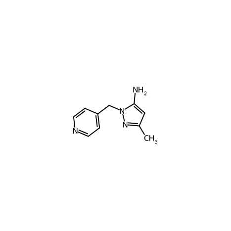 Cc1cc(N)n(Cc2ccncc2)n1